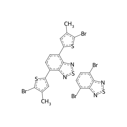 Brc1ccc(Br)c2nsnc12.Cc1cc(-c2ccc(-c3cc(C)c(Br)s3)c3nsnc23)sc1Br